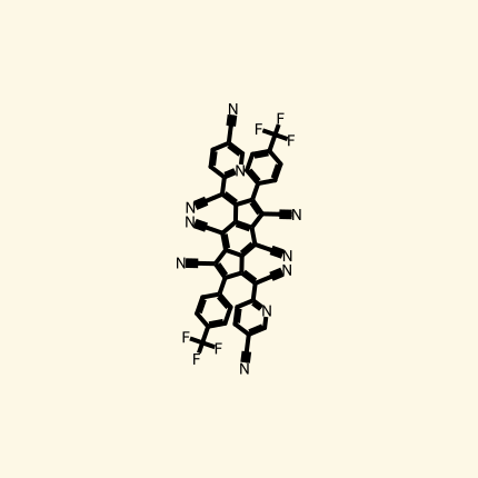 N#CC1=C(c2ccc(C(F)(F)F)cc2)/C(=C(/C#N)c2ccc(C#N)cn2)c2c(C#N)c3c(c(C#N)c21)/C(=C(\C#N)c1ccc(C#N)cn1)C(c1ccc(C(F)(F)F)cc1)=C3C#N